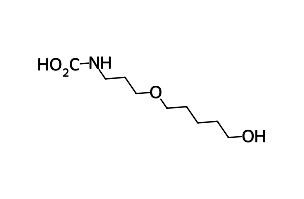 O=C(O)NCCCOCCCCCO